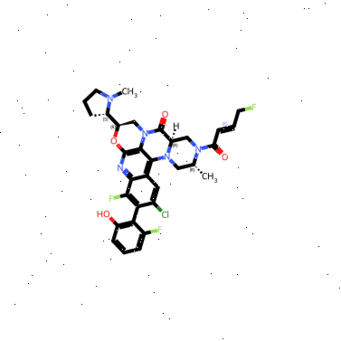 C[C@@H]1CN2c3c4c(nc5c(F)c(-c6c(O)cccc6F)c(Cl)cc35)O[C@@H]([C@@H]3CCCN3C)CN4C(=O)[C@H]2CN1C(=O)/C=C/CF